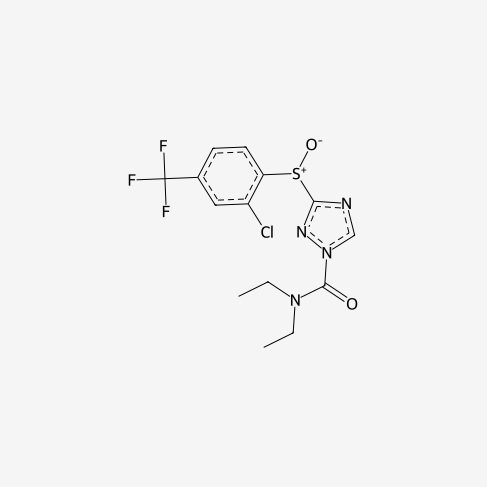 CCN(CC)C(=O)n1cnc([S+]([O-])c2ccc(C(F)(F)F)cc2Cl)n1